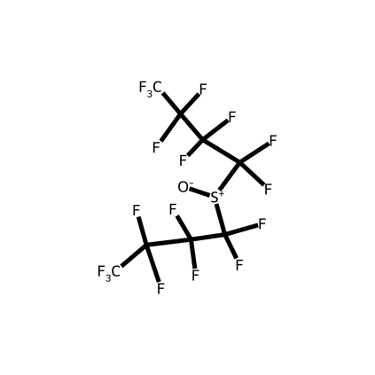 [O-][S+](C(F)(F)C(F)(F)C(F)(F)C(F)(F)F)C(F)(F)C(F)(F)C(F)(F)C(F)(F)F